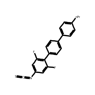 CCCc1ccc(-c2ccc(-c3c(F)cc(N=C=S)cc3F)cc2)cc1